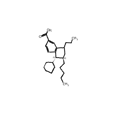 CCCCC[C@@H]1CC(CCC)c2cc(C(=O)O)ccc2[C@H]1C1CCCCC1